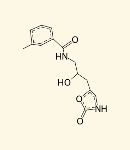 Cc1cccc(C(=O)NCC(O)Cc2c[nH]c(=O)o2)c1